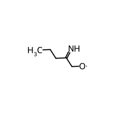 CCCC(=N)C[O]